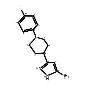 Nc1cc(C2CCN(c3ccc(F)cc3)CC2)n[nH]1